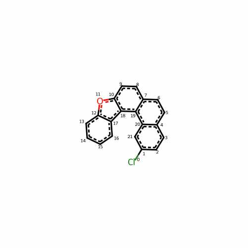 Clc1ccc2ccc3ccc4oc5ccccc5c4c3c2c1